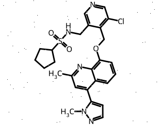 Cc1cc(-c2ccnn2C)c2cccc(OCc3c(Cl)cncc3CNS(=O)(=O)C3CCCC3)c2n1